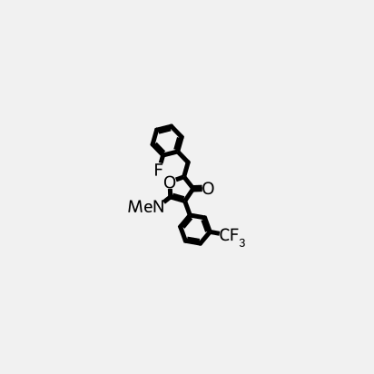 CNC1=C(c2cccc(C(F)(F)F)c2)C(=O)C(Cc2ccccc2F)O1